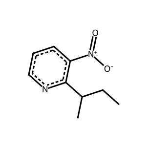 CCC(C)c1ncccc1[N+](=O)[O-]